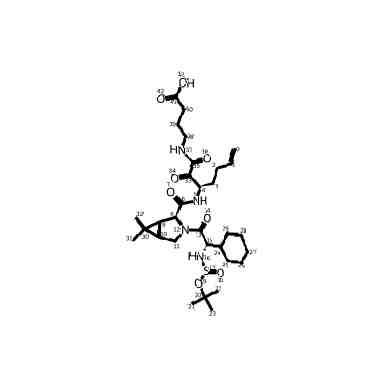 C=CCC[C@@H](NC(=O)[C@@H]1C2C(CN1C(=O)[C@@H](NS(=O)OC(C)(C)C)C1CCCCC1)C2(C)C)C(=O)C(=O)NCCCC(=O)O